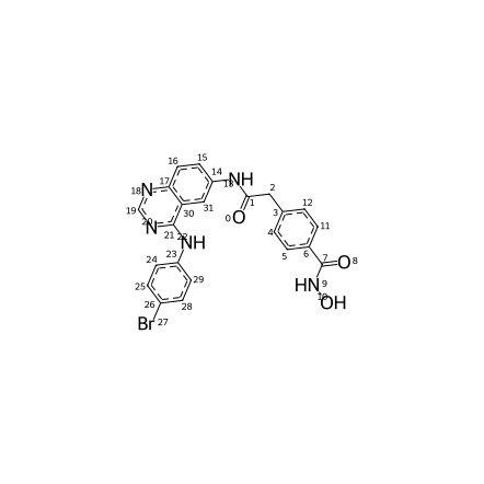 O=C(Cc1ccc(C(=O)NO)cc1)Nc1ccc2ncnc(Nc3ccc(Br)cc3)c2c1